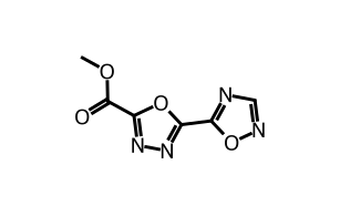 COC(=O)c1nnc(-c2ncno2)o1